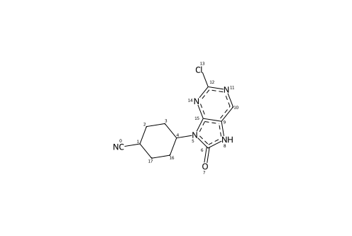 N#CC1CCC(n2c(=O)[nH]c3cnc(Cl)nc32)CC1